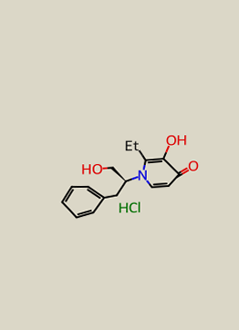 CCc1c(O)c(=O)ccn1[C@H](CO)Cc1ccccc1.Cl